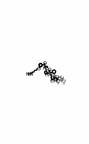 CN(CC(=O)N[C@H](C(=O)N1CCC[C@H]1c1nc(C(=O)c2cccc(OCCCCCN=[N+]=[N-])c2)cs1)C1CCCCC1)C(=O)OC(C)(C)C